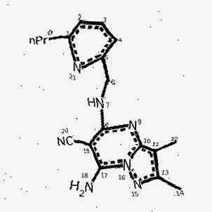 CCCc1cccc(CNc2nc3c(C)c(C)nn3c(N)c2C#N)n1